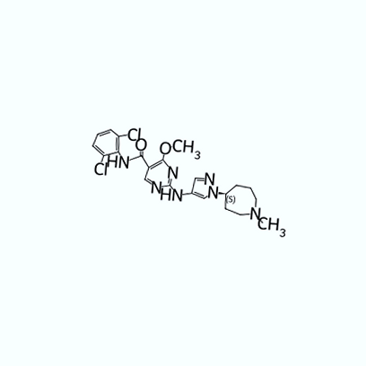 COc1nc(Nc2cnn([C@H]3CCCN(C)CC3)c2)ncc1C(=O)Nc1c(Cl)cccc1Cl